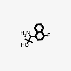 CC(C)(O)C(N)c1ccc(F)c2ccccc12